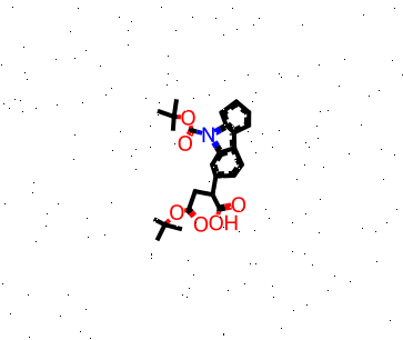 CC(C)(C)OC(=O)CC(C(=O)O)c1ccc2c3ccccc3n(C(=O)OC(C)(C)C)c2c1